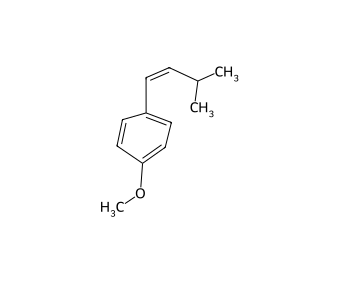 COc1ccc(/C=C\C(C)C)cc1